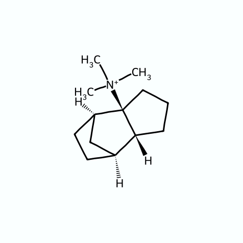 C[N+](C)(C)[C@@]12CCC[C@@H]1[C@H]1CC[C@@H]2C1